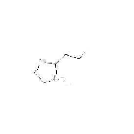 CCCC1NCC[NH+]1[O-]